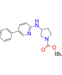 CC(C)(C)OC(=O)N1CCC(Nc2ccc(-c3ccccc3)cn2)C1